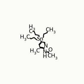 CCC[CH2][Sn]([CH2]CCC)([CH2]CCC)[c]1cnc(NC(C)=O)c(C)c1